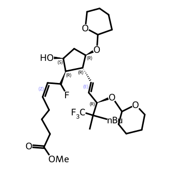 CCCCC(C)([C@@H](/C=C/[C@@H]1[C@@H](C(F)/C=C\CCCC(=O)OC)[C@@H](O)C[C@H]1OC1CCCCO1)OC1CCCCO1)C(F)(F)F